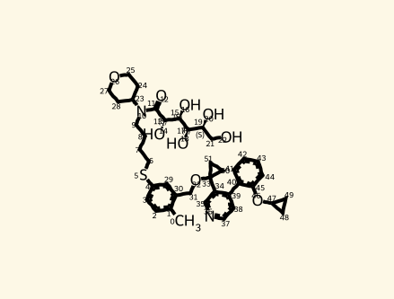 Cc1ccc(SCCCCN(C(=O)[C@@H](O)[C@@H](O)[C@H](O)[C@@H](O)CO)C2CCOCC2)cc1COC1(c2cnccc2-c2ccccc2OC2CC2)CC1